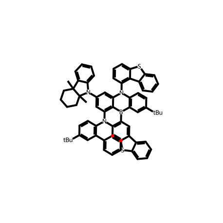 CC(C)(C)c1ccc2c(c1)B1c3cc4c(cc3N(c3ccc(C(C)(C)C)cc3-c3ccccc3)c3cc(N5c6ccccc6C6(C)CCCCC56C)cc(c31)N2c1cccc2sc3ccccc3c12)sc1ccccc14